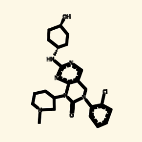 CN1CCCC(N2C(=O)N(c3ccccc3Cl)Cc3cnc(N[C@H]4CC[C@H](O)CC4)nc32)C1